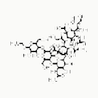 CCOC1OC(CO)C(OC2OC(CO)C(OC3OC(CO)C(O)C(O)C3NC(C)=O)C(OC3(C(=O)O)CC(O)C(NC(C)=O)C([C@H](O)C(CO)OC4(C(=O)O)CC(O)C(NC(C)=O)C([C@H](O)[C@H](O)CO)O4)O3)C2O)C(O)C1O